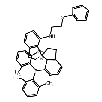 Cc1cccc(C)c1P(c1cccc2c1[C@]1(CCc3cccc(NCCSc4ccccc4)c31)CC2)c1c(C)cccc1C